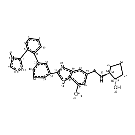 Cn1cnnc1-c1ccccc1-c1cccc(-c2nc3cc(CN[C@H]4CCC[C@@H]4O)cc(C(F)(F)F)c3o2)c1